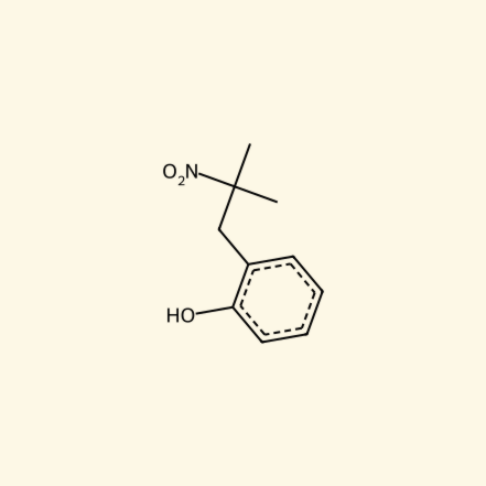 CC(C)(Cc1ccccc1O)[N+](=O)[O-]